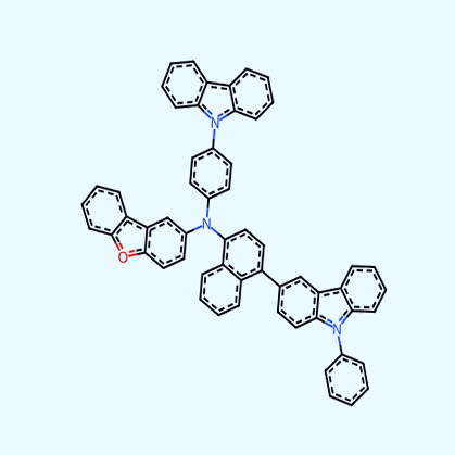 c1ccc(-n2c3ccccc3c3cc(-c4ccc(N(c5ccc(-n6c7ccccc7c7ccccc76)cc5)c5ccc6oc7ccccc7c6c5)c5ccccc45)ccc32)cc1